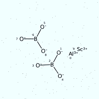 [Al+3].[O-]B([O-])[O-].[O-]B([O-])[O-].[Sc+3]